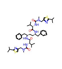 CC(C)c1nc(CN(C)C(=O)N[C@H](C(=O)N[C@H](CC[C@H](Cc2ccccc2)NC(=O)[C@@H](NC(=O)N(C)Cc2csc(C(C)C)n2)C(C)C)Cc2ccccc2)C(C)C)cs1